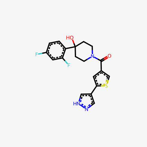 O=C(c1csc(-c2cn[nH]c2)c1)N1CCC(O)(c2ccc(F)cc2F)CC1